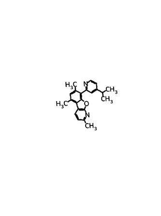 Cc1ccc2c(n1)oc1c(-c3cc(C(C)C)ccn3)c(C)cc(C)c12